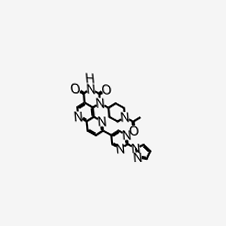 CC(=O)N1CCC(n2c(=O)[nH]c(=O)c3cnc4ccc(-c5cnc(-n6cccn6)nc5)nc4c32)CC1